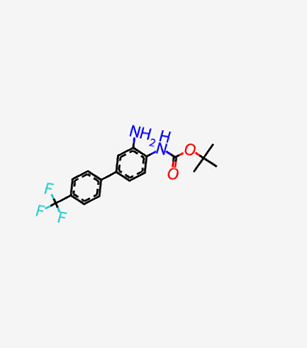 CC(C)(C)OC(=O)Nc1ccc(-c2ccc(C(F)(F)F)cc2)cc1N